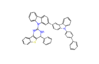 c1ccc(-c2ccc(-n3c4ccccc4c4cc(-c5ccc6c7ccccc7n(C7=Nc8c(sc9ccccc89)C(c8ccccc8)N7)c6c5)ccc43)cc2)cc1